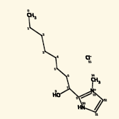 CCCCCCCC(O)c1[nH]cc[n+]1C.[Cl-]